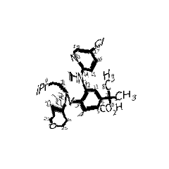 CC(C)CN(c1ccc(C(C)(C)C(=O)O)cc1Nc1ccc(Cl)cn1)C1CCOCC1